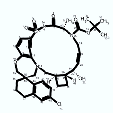 C[C@H]1C(=O)NS(=O)(=O)c2ccc3c(c2)N(C[C@@H]2CC[C@H]2[C@@H](O)C=CCN1C(=O)OC(C)(C)C)C[C@@]1(CCCc2cc(Cl)ccc21)CO3